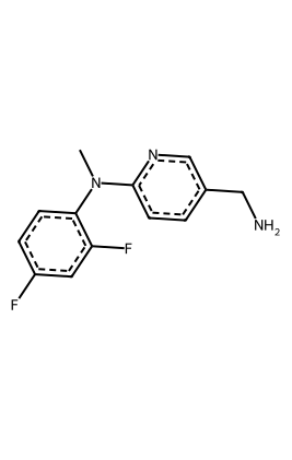 CN(c1ccc(CN)cn1)c1ccc(F)cc1F